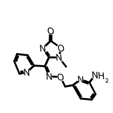 Cn1oc(=O)nc1C(=NOCc1cccc(N)n1)c1ccccn1